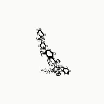 CC(C)(C)c1ccccc1S(=O)(=O)N[C@@H](CNC(=O)c1ccc(N2CCC(Nc3ncccn3)CC2)c(F)c1F)C(=O)O